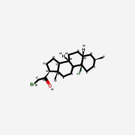 C[C@H]1CC[C@]2(F)C3CC[C@@]4(C)C(CC[C@@H]4C(=O)CBr)[C@@H]3CC[C@@H]2C1